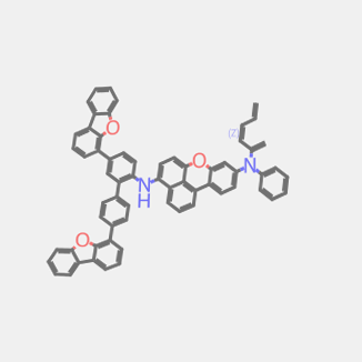 C=C/C=C\C(=C)N(c1ccccc1)c1ccc2c(c1)Oc1ccc(Nc3ccc(-c4cccc5c4oc4ccccc45)cc3-c3ccc(-c4cccc5c4oc4ccccc45)cc3)c3cccc-2c13